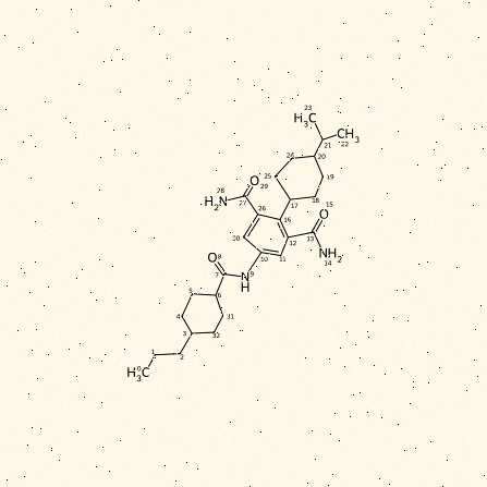 CCCC1CCC(C(=O)Nc2cc(C(N)=O)c(C3CCC(C(C)C)CC3)c(C(N)=O)c2)CC1